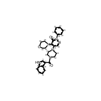 O=C(c1c[nH]c2ccccc12)N1CCN(c2cnn(-c3ccccc3)c(=O)c2N2CCOCC2)CC1